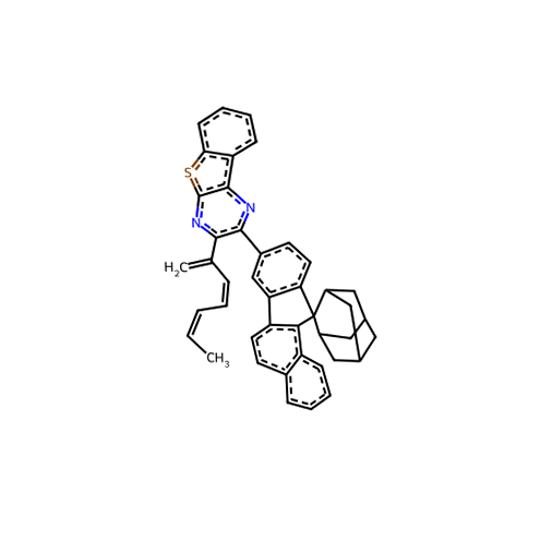 C=C(/C=C\C=C/C)c1nc2sc3ccccc3c2nc1-c1ccc2c(c1)-c1ccc3ccccc3c1C21C2CC3CC(C2)CC1C3